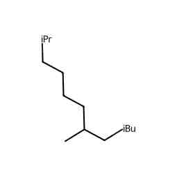 [CH2]CC(C)CC(C)CCCCC(C)C